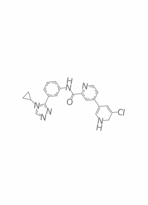 O=C(Nc1cccc(-c2nncn2C2CC2)c1)c1cc(C2=CNCC(Cl)=C2)ccn1